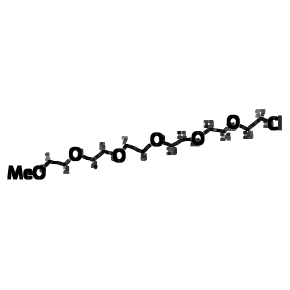 COCCOCCOCCOCCOCCOCCCl